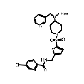 CCCCCCN(Cc1cccnc1)C1CCN(S(=O)(=O)c2ccc(CNC(=O)c3ccc(Cl)cc3)s2)CC1